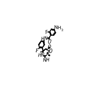 CN1C(=N)N[C@](C)(c2cc(NC(=O)c3ccc(N)cc3F)ccc2F)CS1(=O)=O